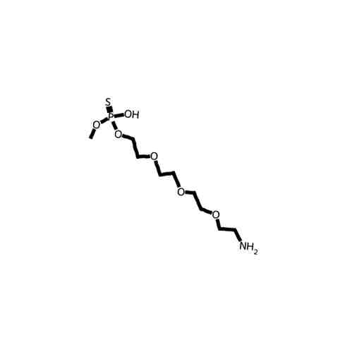 COP(O)(=S)OCCOCCOCCOCCN